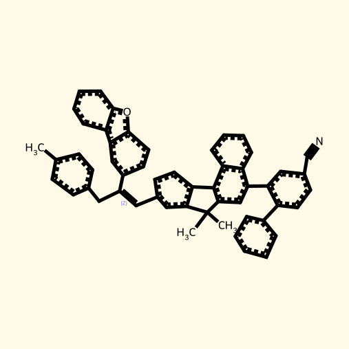 Cc1ccc(C/C(=C/c2ccc3c(c2)C(C)(C)c2cc(-c4cc(C#N)ccc4-c4ccccc4)c4ccccc4c2-3)c2ccc3oc4ccccc4c3c2)cc1